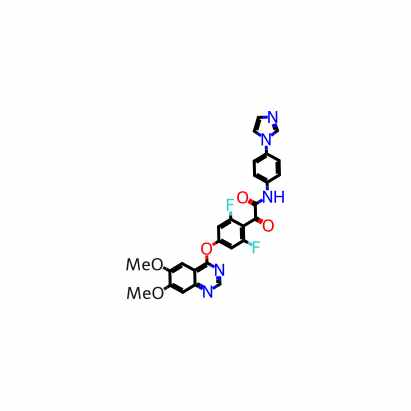 COc1cc2ncnc(Oc3cc(F)c(C(=O)C(=O)Nc4ccc(-n5ccnc5)cc4)c(F)c3)c2cc1OC